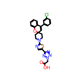 O=C(O)Cn1nnc(-c2cnc(N3CCC4(C=C(c5cccc(Cl)c5)c5ccccc5O4)CC3)s2)n1